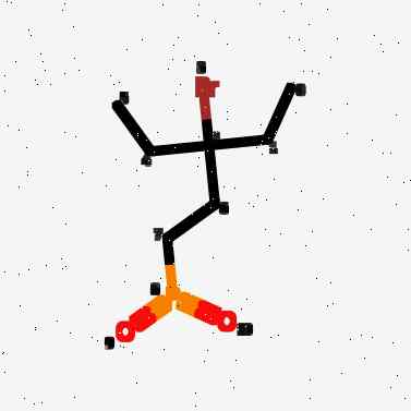 CCC(Br)(CC)CCP(=O)=O